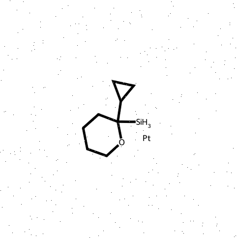 [Pt].[SiH3]C1(C2CC2)CCCCO1